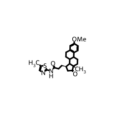 COc1ccc2c(c1)CCC1C2CC[C@]2(C)C(=O)C[C@@H](CCC(=O)Nc3ncc(C)s3)C12